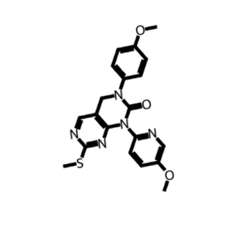 COc1ccc(N2Cc3cnc(SC)nc3N(c3ccc(OC)cn3)C2=O)cc1